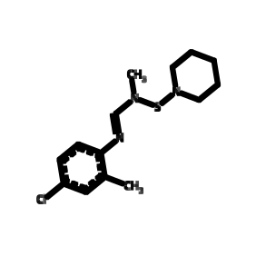 Cc1cc(Cl)ccc1/N=C/N(C)SN1CCCCC1